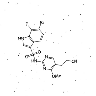 COc1nc(NS(=O)(=O)c2c[nH]c3c(F)c(Br)ccc23)ncc1CCC#N